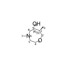 C[C@H]1COCCN(C)C[C@@H]1O